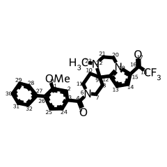 COc1cc(C(=O)N2CCC3(CC2)c2ccc(C(=O)C(F)(F)F)n2CCN3C)ccc1-c1ccccc1